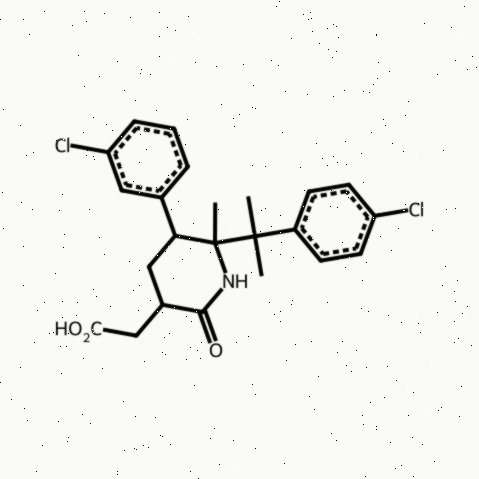 CC(C)(c1ccc(Cl)cc1)C1(C)NC(=O)C(CC(=O)O)CC1c1cccc(Cl)c1